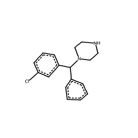 Clc1cccc(C(c2ccccc2)N2CCNCC2)c1